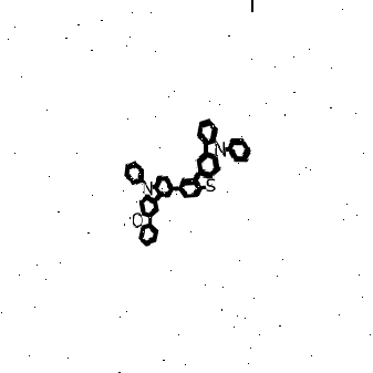 c1ccc(-n2c3ccc(-c4ccc5sc6cc7c(cc6c5c4)c4ccccc4n7-c4ccccc4)cc3c3cc4c(cc32)oc2ccccc24)cc1